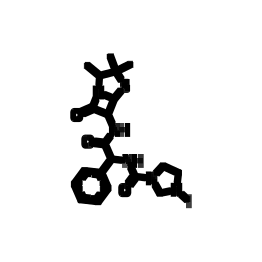 CC1N2C(=O)C(NC(=O)C(NC(=O)N3CCN(I)C3)c3ccccc3)C2SC1(C)C